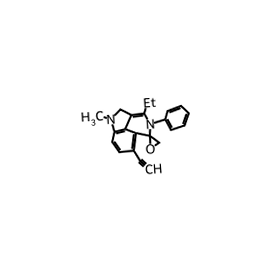 C#Cc1ccc2c3c1C1(CO1)N(c1ccccc1)C(CC)=C3CN2C